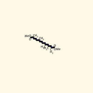 COC(=O)/C(C)=C/C=C/C(C)=C/C=C/C=C(C)/C=C(C)/C=C(\C)C(=O)OC